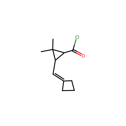 CC1(C)C(C=C2CCC2)C1C(=O)Cl